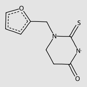 O=C1CCN(Cc2ccco2)C(=S)[N]1